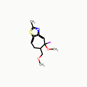 COCC1CC=c2sc(C)nc2=CC1(I)OC